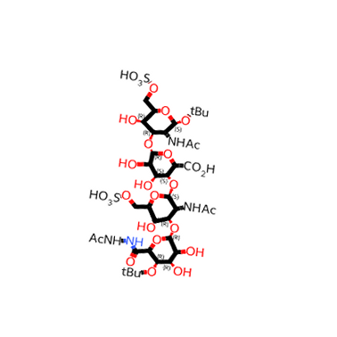 CC(=O)NNC(=O)C1O[C@@H](O[C@@H]2C(NC(C)=O)[C@H](O[C@@H]3C(C(=O)O)O[C@@H](O[C@@H]4C(NC(C)=O)[C@H](OC(C)(C)C)OC(COS(=O)(=O)O)[C@@H]4O)C(O)[C@@H]3O)OC(COS(=O)(=O)O)[C@@H]2O)C(O)[C@@H](O)[C@H]1OC(C)(C)C